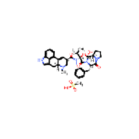 CC(C)[C@@]1(NC(=O)[C@@H]2C=C3c4cccc5[nH]cc(c45)C[C@H]3N(C)C2)O[C@@]2(O)[C@@H]3CCCN3C(=O)[C@H](Cc3ccccc3)N2C1=O.CS(=O)(=O)O